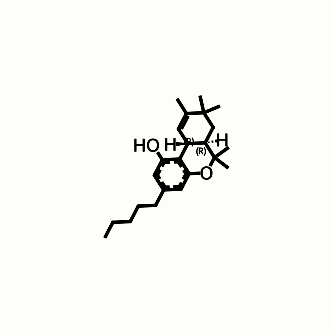 CCCCCc1cc(O)c2c(c1)OC(C)(C)[C@@H]1CC(C)(C)C(C)=C[C@@H]21